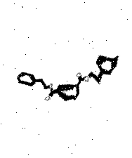 O=C(OCCc1ccccc1)c1cccc(C(=O)OCCc2ccccc2)c1